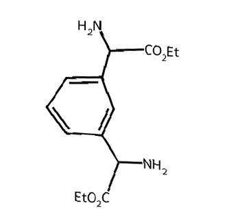 CCOC(=O)C(N)c1cccc(C(N)C(=O)OCC)c1